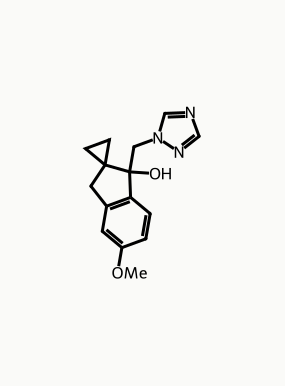 COc1ccc2c(c1)CC1(CC1)C2(O)Cn1cncn1